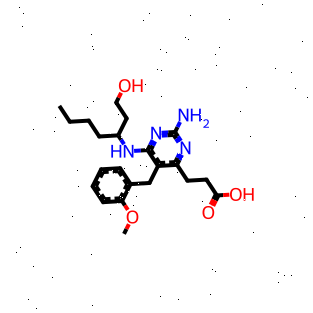 CCCCC(CCO)Nc1nc(N)nc(CCC(=O)O)c1Cc1ccccc1OC